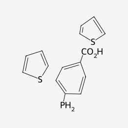 O=C(O)c1ccc(P)cc1.c1ccsc1.c1ccsc1